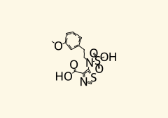 COc1cccc(CCN(c2scnc2C(=O)O)S(=O)(=O)O)c1